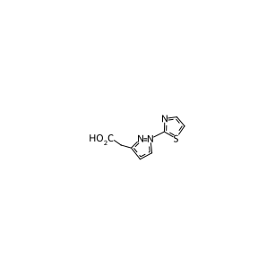 O=C(O)Cc1ccn(-c2nccs2)n1